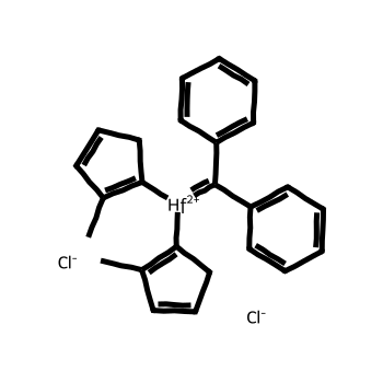 CC1=[C]([Hf+2]([C]2=C(C)C=CC2)=[C](c2ccccc2)c2ccccc2)CC=C1.[Cl-].[Cl-]